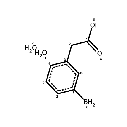 Bc1cccc(CC(=O)O)c1.O.O